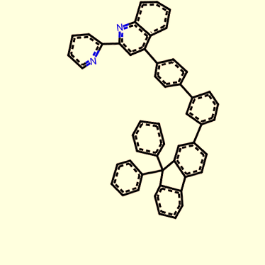 c1ccc(C2(c3ccccc3)c3ccccc3-c3ccc(-c4cccc(-c5ccc(-c6cc(-c7ccccn7)nc7ccccc67)cc5)c4)cc32)cc1